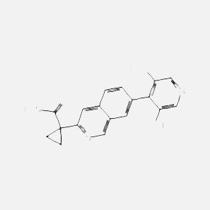 Cc1cncc(C)c1-c1ccc2cc(C3(C(N)=O)CC3)ncc2c1